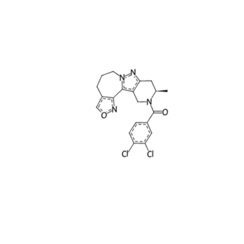 C[C@@H]1Cc2nn3c(c2CN1C(=O)c1ccc(Cl)c(Cl)c1)-c1nocc1CCC3